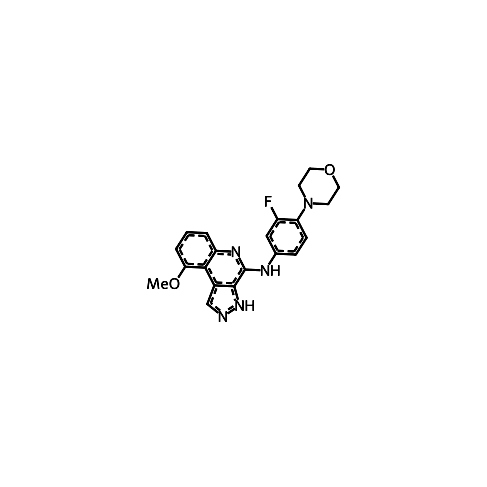 COc1cccc2nc(Nc3ccc(N4CCOCC4)c(F)c3)c3[nH]ncc3c12